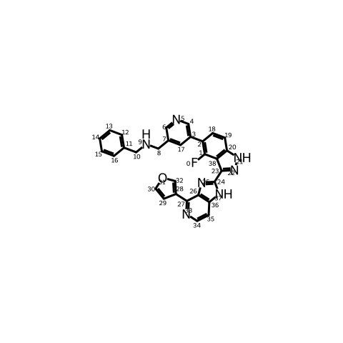 Fc1c(-c2cncc(CNCc3ccccc3)c2)ccc2[nH]nc(-c3nc4c(-c5ccoc5)nccc4[nH]3)c12